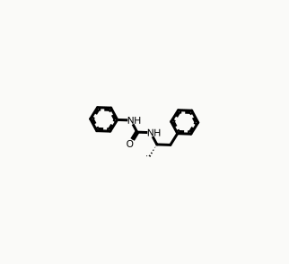 [CH2][C@@H](Cc1ccccc1)NC(=O)Nc1ccccc1